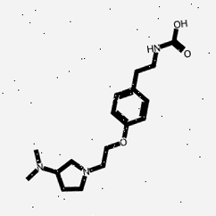 CN(C)C1CCN(CCOc2ccc(CCNC(=O)O)cc2)C1